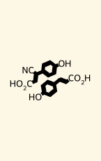 N#CC(=CC(=O)O)c1ccc(O)cc1.O=C(O)C=Cc1ccc(O)cc1